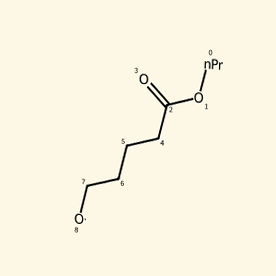 CCCOC(=O)CCCC[O]